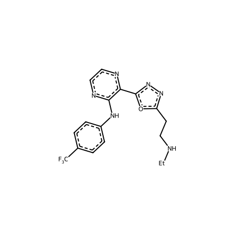 CCNCCc1nnc(-c2nccnc2Nc2ccc(C(F)(F)F)cc2)o1